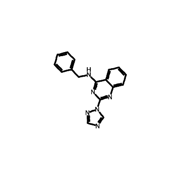 c1ccc(CNc2nc(-n3cncn3)nc3ccccc23)cc1